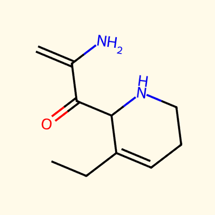 C=C(N)C(=O)C1NCCC=C1CC